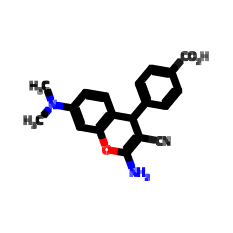 CN(C)c1ccc2c(c1)OC(N)=C(C#N)C2c1ccc(C(=O)O)cc1